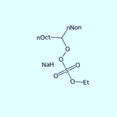 CCCCCCCCCC(CCCCCCCC)OOS(=O)(=O)OCC.[NaH]